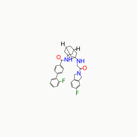 O=C(NC12C[C@@H]3C[C@@H](CC(NCC(=O)N4Cc5ccc(F)cc5C4)(C3)C1)C2)c1ccc(-c2ccccc2F)cc1